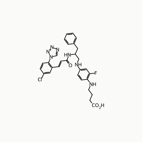 O=C(O)CCCNc1ccc(NCC(Cc2ccccc2)NC(=O)C=Cc2cc(Cl)ccc2-n2cnnn2)cc1F